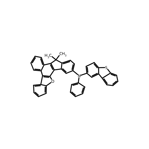 CC1(C)c2ccc(N(c3ccccc3)c3ccc4sc5ccccc5c4c3)cc2-c2c1c1ccccc1c1c2oc2ccccc21